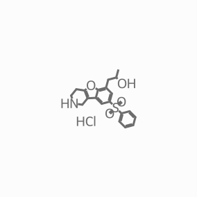 CC(O)Cc1cc(S(=O)(=O)c2ccccc2)cc2c3c(oc12)CCNC3.Cl